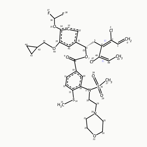 C=C/C(Cl)=C(C[C@H](OC(=O)c1ccc(SC)c(N(CCN2CCOCC2)S(C)(=O)=O)c1)c1ccc(OC(F)F)c(OCC2CC2)c1)\C(Cl)=C/C